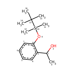 CC(O)c1ccccc1O[Si](C)(C)C(C)(C)C